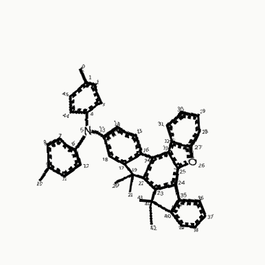 Cc1ccc(N(c2ccc(C)cc2)c2ccc3c(c2)C(C)(C)c2c4c(c5oc6ccccc6c5c2-3)-c2ccccc2C4(C)C)cc1